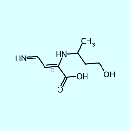 CC(CCO)N/C(=C\C=N)C(=O)O